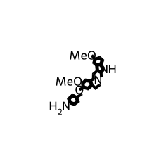 COc1ccc2[nH]c3c(c2c1)CC1c2cc(OC)c(OCc4ccc(N)cc4)cc2CCN1C3